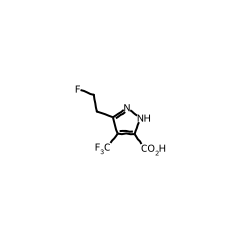 O=C(O)c1[nH]nc(CCF)c1C(F)(F)F